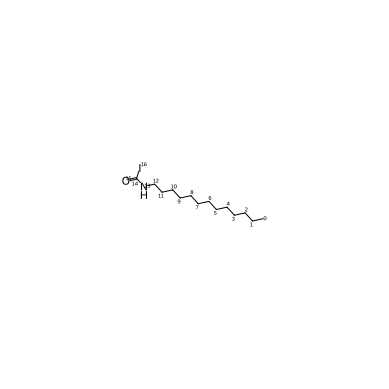 CCCCCCCCCCCCCNC(=O)I